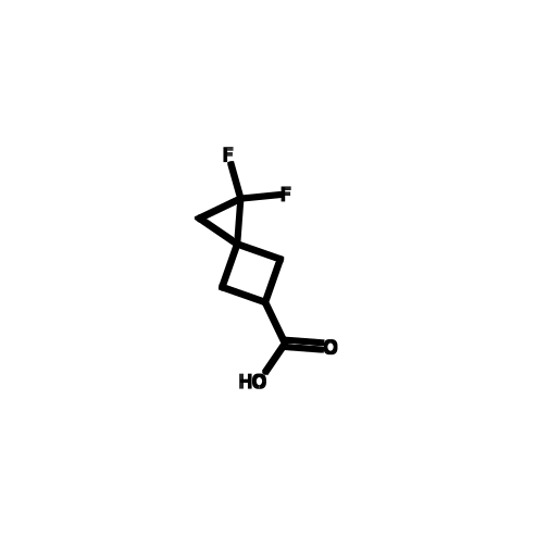 O=C(O)C1CC2(C1)CC2(F)F